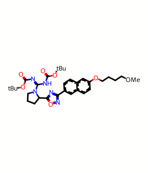 COCCCCOc1ccc2cc(-c3noc(C4CCCN4C(=NC(=O)OC(C)(C)C)NC(=O)OC(C)(C)C)n3)ccc2c1